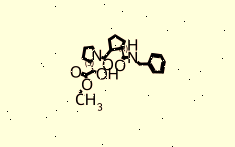 CCOC(=O)C(O)[C@@H]1CCCN1C(=O)C1CCC[C@H]1C(=O)NCc1ccccc1